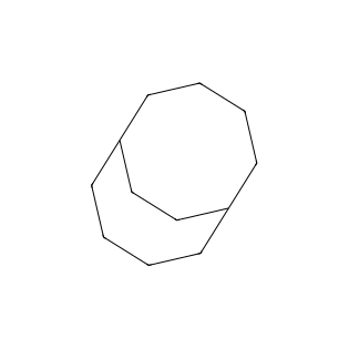 C1CCC2CCCCC(C1)CC2